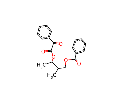 CC(COC(=O)c1ccccc1)C(C)OC(=O)C(=O)c1ccccc1